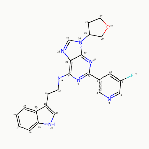 Fc1cncc(-c2nc(NCCc3c[nH]c4ccccc34)c3ncn(C4CCOC4)c3n2)c1